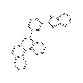 c1cc(-c2nc3ccccc3o2)nc(-c2cc3ccc4ccccc4c3c3ccccc23)c1